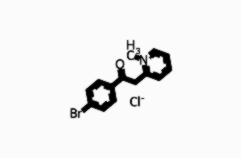 C[n+]1ccccc1CC(=O)c1ccc(Br)cc1.[Cl-]